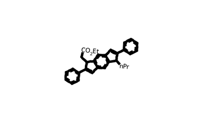 CCCC1C(c2ccccc2)=Cc2cc3c(cc21)C=C(c1ccccc1)C3CC(=O)OCC